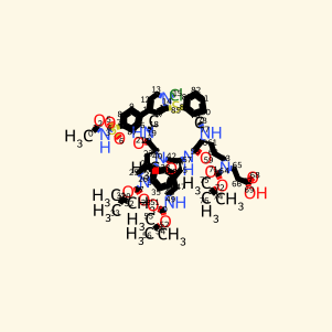 CC(=O)NS(=O)(=O)c1ccc(C2=CCN(Cl)C3=C2CNC(=O)[C@H](Cc2cn(C(=O)OC(C)(C)C)c4ccccc24)N(C)C(=O)[C@H](CCCCNC(=O)OC(C)(C)C)NC(=O)[C@H](CCCN(CCC(=O)O)C(=O)OC(C)(C)C)NCc2ccccc2S3)cc1